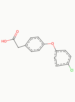 O=C(O)Cc1ccc(Oc2ccc(Cl)cc2)cc1